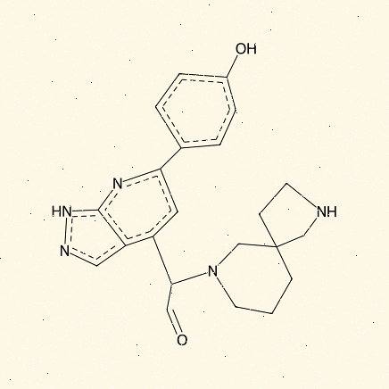 O=CC(c1cc(-c2ccc(O)cc2)nc2[nH]ncc12)N1CCCC2(CCNC2)C1